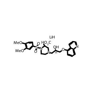 COc1ccc(S(=O)(=O)N2CCN(C[C@@H](O)COc3cccc4ncccc34)CC2C(=O)O)cc1OC.[LiH]